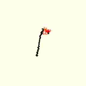 CCCCCCCCCCCCCCCCCCC(C)S(=O)(=O)OOC(C)=O